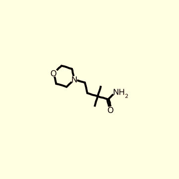 CC(C)(CCN1CCOCC1)C(N)=O